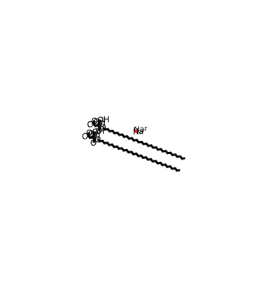 CCCCCCCCCCCCCCCCCCCCCCCCCCCCCCCCCCOC(=O)C(CC(=O)[O-])S(=O)(=O)O.CCCCCCCCCCCCCCCCCCCCCCCCCCCCCCCCCCOC(=O)C(CC(=O)[O-])S(=O)(=O)O.[Na+].[Na+]